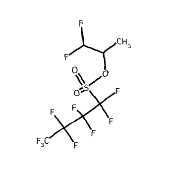 CC(OS(=O)(=O)C(F)(F)C(F)(F)C(F)(F)C(F)(F)F)C(F)F